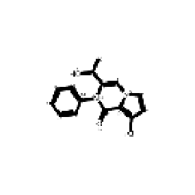 CC(O)c1cn2ccc(Cl)c2c(=O)n1-c1ccccc1